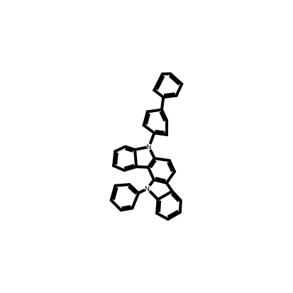 c1ccc(-c2ccc(-n3c4ccccc4c4c3ccc3c5ccccc5n(-c5ccccc5)c34)cc2)cc1